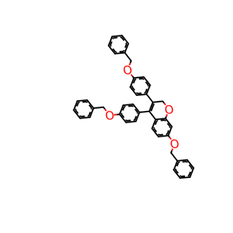 c1ccc(COc2ccc(C3=C(c4ccc(OCc5ccccc5)cc4)c4ccc(OCc5ccccc5)cc4OC3)cc2)cc1